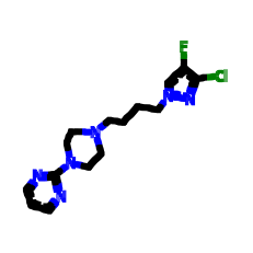 Fc1cn(CCCCN2CCN(c3ncccn3)CC2)nc1Cl